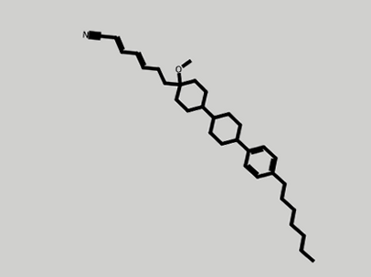 CCCCCCCc1ccc(C2CCC(C3CCC(CCC=CC=CC#N)(OC)CC3)CC2)cc1